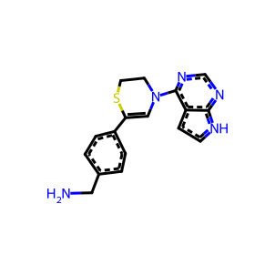 NCc1ccc(C2=CN(c3ncnc4[nH]ccc34)CCS2)cc1